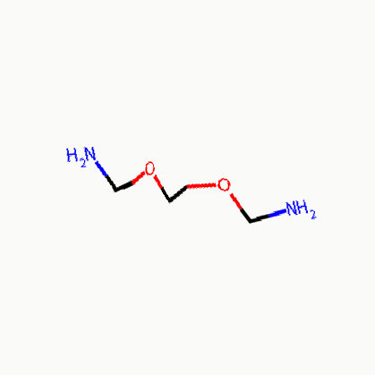 NCOCOCN